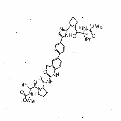 COC(=O)NC(C(=O)N1CCCC1C(=O)NC(=O)Nc1ccc(-c2ccc(-c3cnc(C4CCCN4C(=O)[C@@H](NC(=O)OC)C(C)C)[nH]3)cc2)cc1F)C(C)C